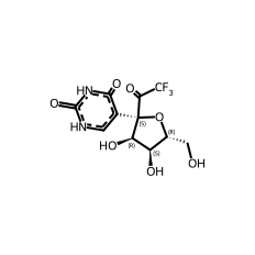 O=C(C(F)(F)F)[C@@]1(c2c[nH]c(=O)[nH]c2=O)O[C@H](CO)[C@@H](O)[C@H]1O